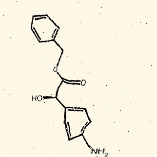 Nc1ccc([C@@H](O)C(=O)OCc2ccccc2)cc1